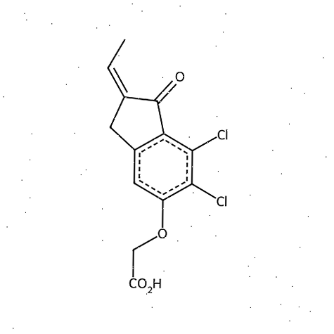 CC=C1Cc2cc(OCC(=O)O)c(Cl)c(Cl)c2C1=O